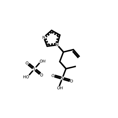 C=CC(CC(C)S(=O)(=O)O)n1ccnc1.O=S(=O)(O)O